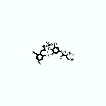 CC(C)c1cc(C(C)C)c(CC(=O)NS(=O)(=O)Oc2c(C(C)C)cc(NC(=O)C(N)CO)cc2C(C)C)c(C(C)C)c1